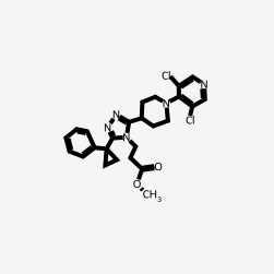 COC(=O)CCn1c(C2CCN(c3c(Cl)cncc3Cl)CC2)nnc1C1(c2ccccc2)CC1